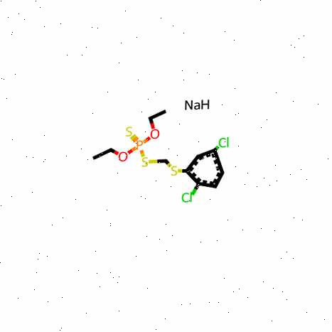 CCOP(=S)(OCC)SCSc1cc(Cl)ccc1Cl.[NaH]